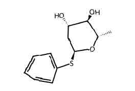 C[C@@H]1O[C@@H](Sc2ccccc2)C[C@H](O)[C@H]1O